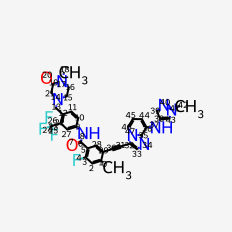 Cc1cc(F)c(C(=O)Nc2ccc(CN3CCN(C)C(=O)C3)c(C(F)(F)F)c2)cc1C#Cc1cnc2c(Nc3cnn(C)c3)cccn12